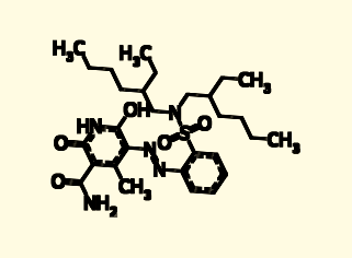 CCCCC(CC)CN(CC(CC)CCCC)S(=O)(=O)c1ccccc1/N=N/c1c(O)[nH]c(=O)c(C(N)=O)c1C